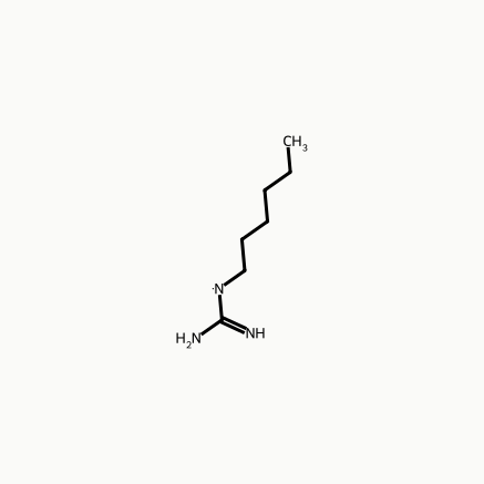 CCCCCC[N]C(=N)N